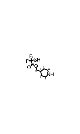 O=C(OCC1CCNCC1)C(F)(F)S